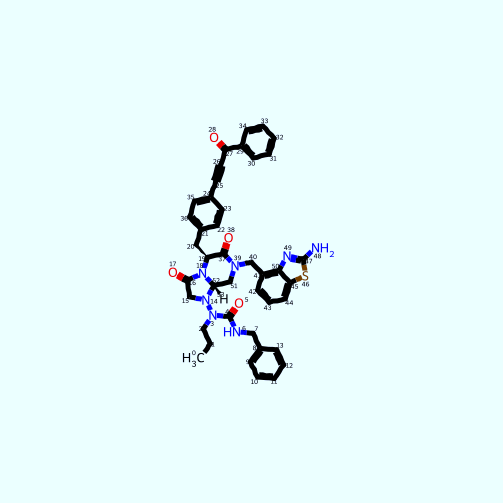 CCCN(C(=O)NCc1ccccc1)N1CC(=O)N2[C@@H](Cc3ccc(C#CC(=O)c4ccccc4)cc3)C(=O)N(Cc3cccc4sc(N)nc34)C[C@@H]21